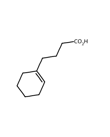 O=C(O)CCCC1=CCCCC1